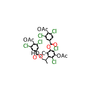 CC(=O)Oc1c(Cl)cc(C(=O)OCC(C)c2c(Cl)c(OC(C)=O)c(Cl)c(OC(=O)c3cc(Cl)c(OC(C)=O)c(Cl)c3)c2C(=O)O)cc1Cl